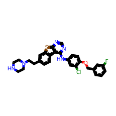 Fc1cccc(COc2ccc(Nc3ncnc4sc5cc(CCN6CCNCC6)ccc5c34)cc2Cl)c1